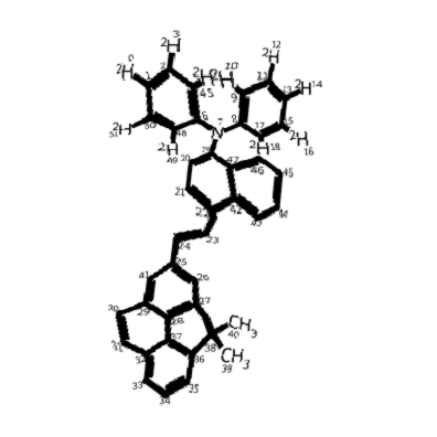 [2H]c1c([2H])c([2H])c(N(c2c([2H])c([2H])c([2H])c([2H])c2[2H])c2ccc(/C=C/c3cc4c5c(ccc6cccc(c65)C4(C)C)c3)c3ccccc23)c([2H])c1[2H]